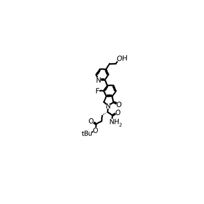 CC(C)(C)OC(=O)CC[C@@H](C(N)=O)N1Cc2c(ccc(-c3cc(CCO)ccn3)c2F)C1=O